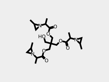 CC1CN1C(C)C(=O)OCC(CO)(COC(=O)C(C)N1CC1C)COC(=O)C(C)N1CC1C